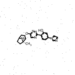 C[C@@]12CCC(C[C@H](Oc3cnc(-c4ccc(-n5ccnc5)cc4O)nn3)C1)N2